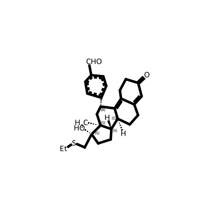 CCSC[C@]1(O)CC[C@H]2[C@@H]3CCC4=CC(=O)CCC4=C3[C@@H](c3ccc(C=O)cc3)C[C@@]21C